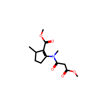 COC(=O)CC(=O)N(C)C1=C(C(=O)OC)C(C)CC1